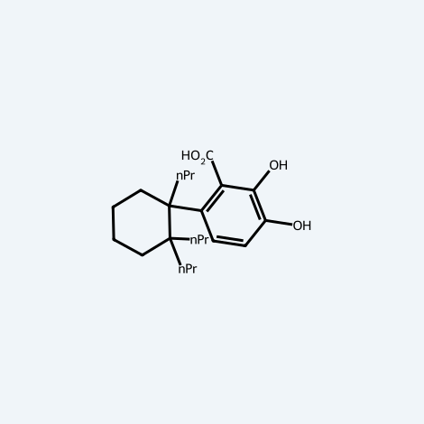 CCCC1(CCC)CCCCC1(CCC)c1ccc(O)c(O)c1C(=O)O